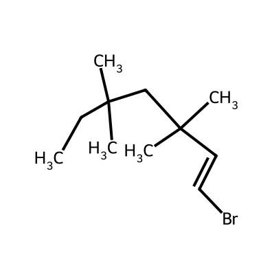 CCC(C)(C)CC(C)(C)/C=C/Br